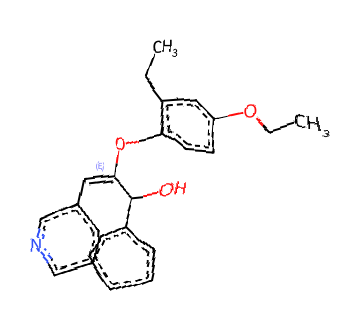 CCOc1ccc(O/C(=C/c2cccnc2)C(O)c2ccccc2)c(CC)c1